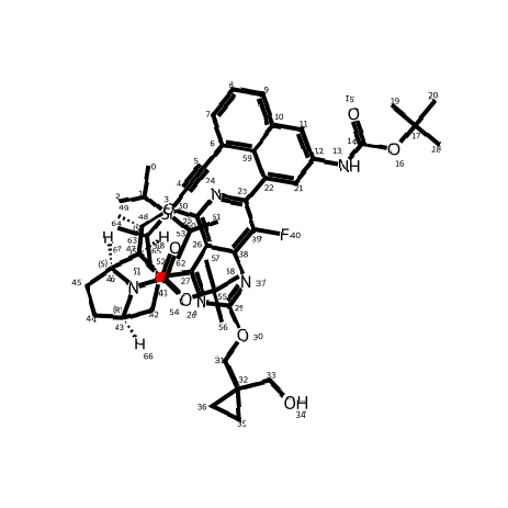 CC(C)[Si](C#Cc1cccc2cc(NC(=O)OC(C)(C)C)cc(-c3nc4c5c(nc(OCC6(CO)CC6)nc5c3F)N3C[C@H]5CC[C@@H]([C@H]3[C@H](C)O4)N5C(=O)OC(C)(C)C)c12)(C(C)C)C(C)C